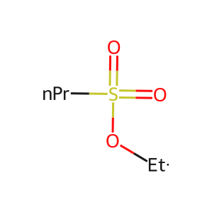 C[CH]OS(=O)(=O)CCC